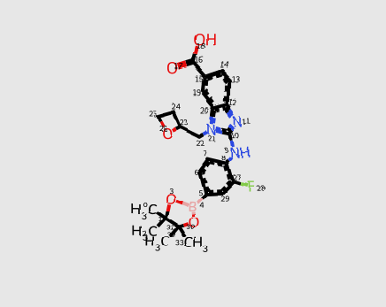 CC1(C)OB(c2ccc(Nc3nc4ccc(C(=O)O)cc4n3CC3CCO3)c(F)c2)OC1(C)C